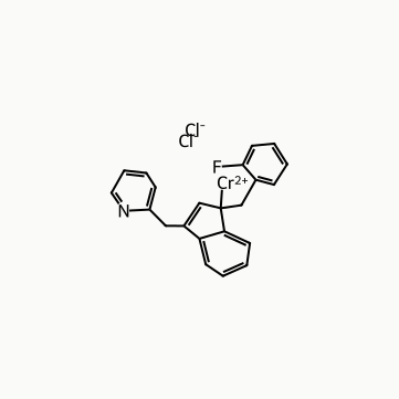 Fc1ccccc1C[C]1([Cr+2])C=C(Cc2ccccn2)c2ccccc21.[Cl-].[Cl-]